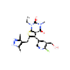 Cc1n[nH]c(C)c1Cc1sc2c(c1-c1cnc(F)c(CO)c1)c(=O)n(C)c(=O)n2CC(C)C